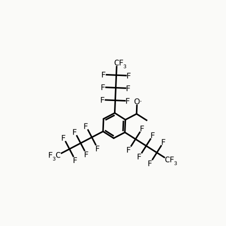 CC([O])c1c(C(F)(F)C(F)(F)C(F)(F)C(F)(F)F)cc(C(F)(F)C(F)(F)C(F)(F)C(F)(F)F)cc1C(F)(F)C(F)(F)C(F)(F)C(F)(F)F